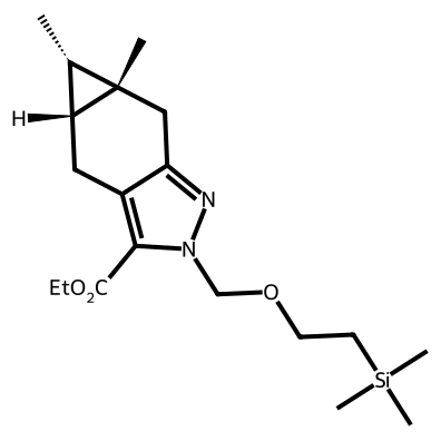 CCOC(=O)c1c2c(nn1COCC[Si](C)(C)C)C[C@]1(C)[C@H](C2)[C@@H]1C